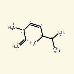 C=CN(C)/C=C\C(C)C(C)C